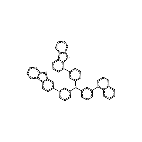 c1cc(-c2ccc3c(c2)sc2ccccc23)cc(N(c2cccc(-c3cccc4ccccc34)c2)c2cccc(-c3cccc4c3oc3ccccc34)c2)c1